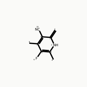 C=C1NC(C)=C(F)C(C)=C1C#N